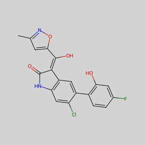 Cc1cc(C(O)=C2C(=O)Nc3cc(Cl)c(-c4ccc(F)cc4O)cc32)on1